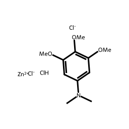 COc1cc(N(C)C)cc(OC)c1OC.Cl.[Cl-].[Cl-].[Zn+2]